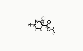 CCOC(=O)c1ccc(I)nc1Cl